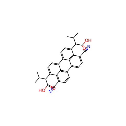 CC(C)C(C(=O)O)c1ccc2c3ccc(C(C(=O)O)C(C)C)c4c(C#N)ccc(c5ccc(C#N)c1c52)c43